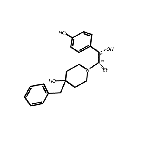 CC[C@@H]([C@@H](O)c1ccc(O)cc1)N1CCC(O)(Cc2ccccc2)CC1